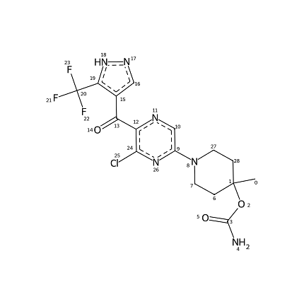 CC1(OC(N)=O)CCN(c2cnc(C(=O)c3cn[nH]c3C(F)(F)F)c(Cl)n2)CC1